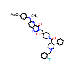 COc1ccc(N(C)c2ccc3ncn(CC4(O)CCN(C(=O)[C@@H]5CCN(Cc6ccccc6F)C[C@H]5c5ccccc5)CC4)c(=O)c3n2)cc1